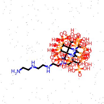 NCCNCCNCCNCC(C(P(=O)(O)O)P(=O)(O)O)N(C(P(=O)(O)O)P(=O)(O)O)C(C(P(=O)(O)O)P(=O)(O)O)(C(P(=O)(O)O)P(=O)(O)O)C(C(P(=O)(O)O)P(=O)(O)O)(C(P(=O)(O)O)P(=O)(O)O)N(C(P(=O)(O)O)P(=O)(O)O)C(P(=O)(O)O)P(=O)(O)O